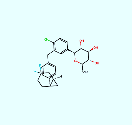 CS[C@H]1O[C@@H](c2ccc(Cl)c(Cc3ccc([C@]45CCC(F)(F)C[C@H]4C5)cc3)c2)[C@H](O)[C@@H](O)[C@@H]1O